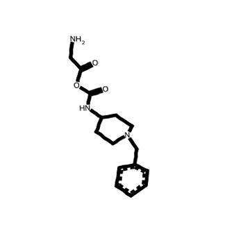 NCC(=O)OC(=O)NC1CCN(Cc2ccccc2)CC1